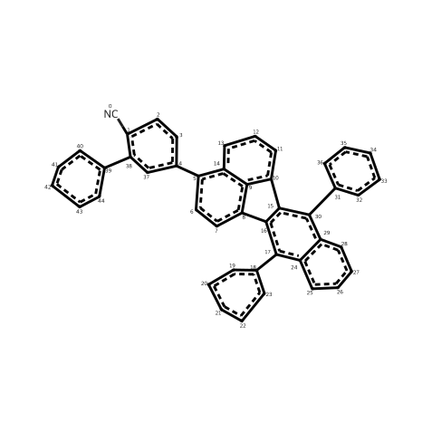 N#Cc1ccc(-c2ccc3c4c(cccc24)-c2c-3c(-c3ccccc3)c3ccccc3c2-c2ccccc2)cc1-c1ccccc1